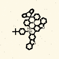 CC(C)(C)c1ccc(Nc2cc3c(cc2-c2cc4oc5ccccc5c4c4c2Bc2cccc5c2N4c2ccccc2C52c4ccccc4-c4ccccc42)sc2ccccc23)cc1